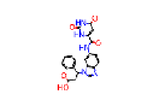 O=C(O)CC(c1ccccc1)n1cnc2ccc(NC(=O)c3cc(=O)[nH]c(=O)[nH]3)cc21